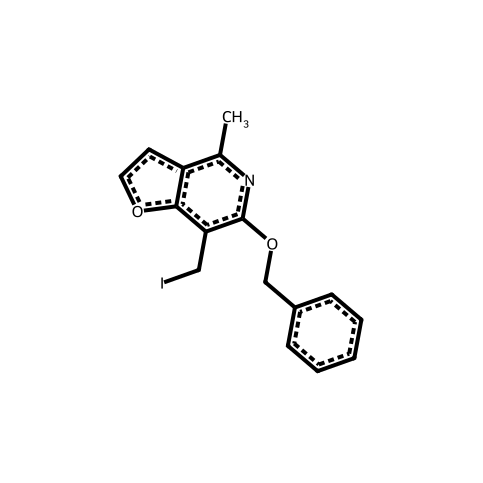 Cc1nc(OCc2ccccc2)c(CI)c2occc12